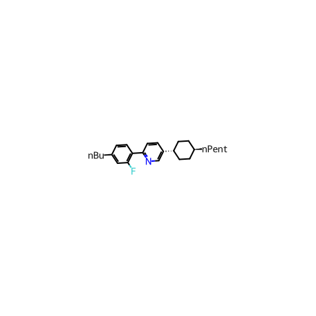 CCCCC[C@H]1CC[C@H](c2ccc(-c3ccc(CCCC)cc3F)nc2)CC1